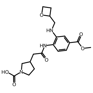 COC(=O)c1ccc(NC(=O)CC2CCN(C(=O)O)C2)c(NCC2CCO2)c1